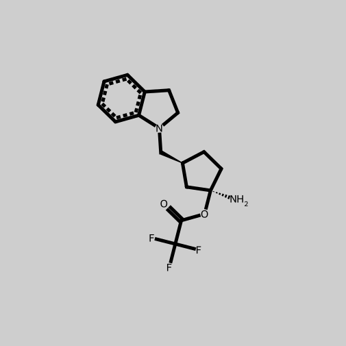 N[C@@]1(OC(=O)C(F)(F)F)CC[C@H](CN2CCc3ccccc32)C1